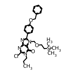 CCCn1c(Cl)nc2nc(-c3ccc(OCc4ccccc4)cc3)n(COCC[Si](C)(C)C)c2c1=O